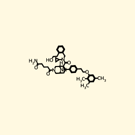 Cc1cc(C)c(C)c(OCCc2ccc(C3=C(C(=O)N(Cc4ccccc4CCO)C4CC4)[C@H]4CN(C(=O)CCCC(N)=O)CC(C3)N4)cc2)c1